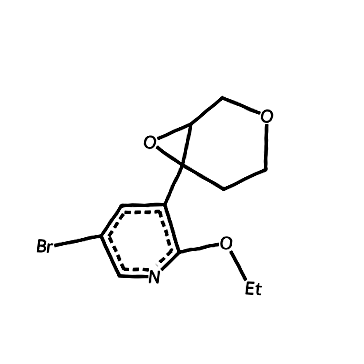 CCOc1ncc(Br)cc1C12CCOCC1O2